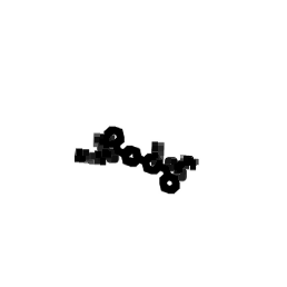 CNC(=O)OC(c1ccc(C2CCC(C(OC(=O)C(C)C)C3CCCCC3)NC2)cc1)C1CCCCN1